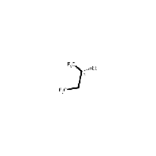 CC[C@H](CC(F)(F)F)C(F)(F)F